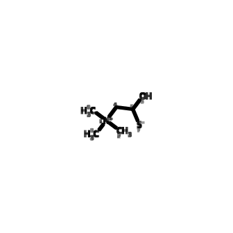 C[N+](C)(C)CC(O)[S-]